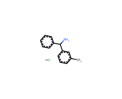 Cl.NC(c1ccccc1)c1cccc(C(F)(F)F)c1